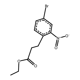 CCOC(=O)CCc1ccc(Br)cc1[N+](=O)[O-]